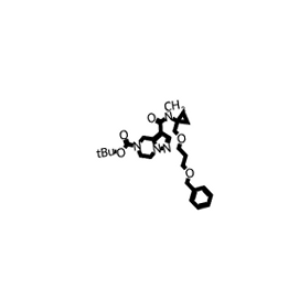 CN(C(=O)c1cnn2c1CN(C(=O)OC(C)(C)C)CC2)C1(COCCCOCc2ccccc2)CC1